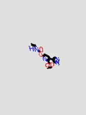 CCNC(=O)Oc1ccc(-c2cnn(C)c2)c(C2OCCO2)n1